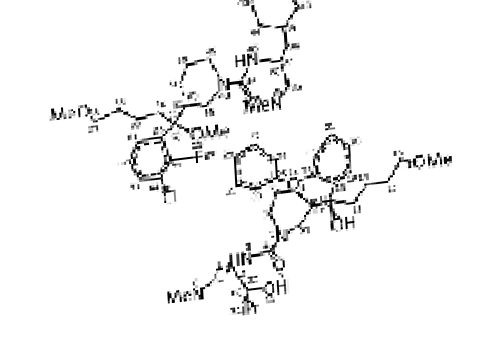 CNC[C@@H](NC(=O)N1CCC[C@@H]([C@@](O)(CCCCOC)c2ccccc2Oc2ccccc2)C1)[C@@H](O)C(C)C.CNC[C@H](CC1CCCCC1)NC(=O)N1CCC[C@@H]([C@](CCCCOC)(OC)c2cccc(Cl)c2F)C1